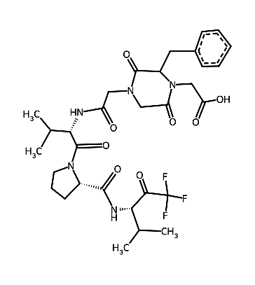 CC(C)[C@H](NC(=O)CN1CC(=O)N(CC(=O)O)C(Cc2ccccc2)C1=O)C(=O)N1CCC[C@H]1C(=O)N[C@H](C(=O)C(F)(F)F)C(C)C